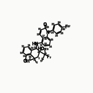 CC1(C)CC(O)(C(F)(F)F)C(Nc2cccc3c2ccc(=O)n3-c2ccc(F)cc2)c2cccc(O)c21